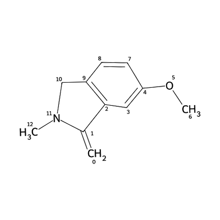 C=C1c2cc(OC)ccc2CN1C